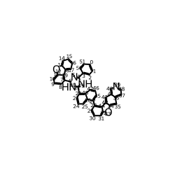 c1ccc(C2=NC(c3cccc4oc5ccccc5c34)NC(c3cccc4c(-c5cccc6oc7cc8ccncc8cc7c56)cccc34)N2)cc1